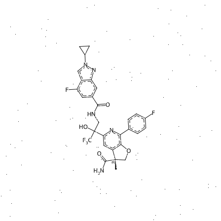 C[C@]1(C(N)=O)COc2c1cc(C(O)(CNC(=O)c1cc(F)c3cn(C4CC4)nc3c1)C(F)(F)F)nc2-c1ccc(F)cc1